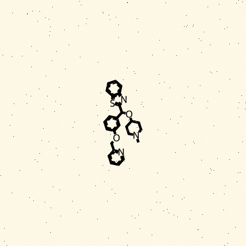 CN1CCC(OC(c2cccc(OCc3ccccn3)c2)c2nc3ccccc3s2)CC1